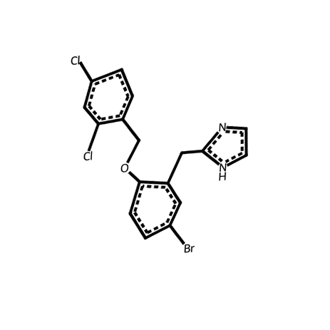 Clc1ccc(COc2ccc(Br)cc2Cc2ncc[nH]2)c(Cl)c1